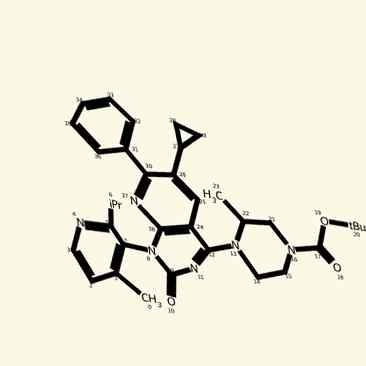 Cc1ccnc(C(C)C)c1-n1c(=O)nc(N2CCN(C(=O)OC(C)(C)C)CC2C)c2cc(C3CC3)c(-c3ccccc3)nc21